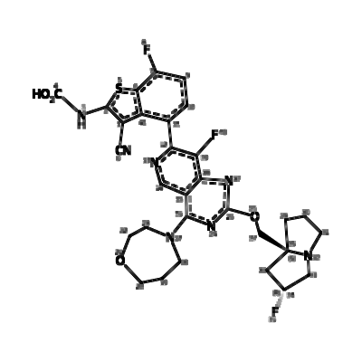 N#Cc1c(NC(=O)O)sc2c(F)ccc(-c3ncc4c(N5CCCOCC5)nc(OC[C@@]56CCCN5C[C@H](F)C6)nc4c3F)c12